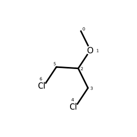 COC(CCl)CCl